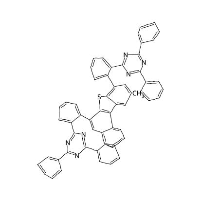 Cc1cc(-c2ccccc2-c2nc(-c3ccccc3)nc(-c3ccccc3)n2)c2sc3c(-c4ccccc4-c4nc(-c5ccccc5)nc(-c5ccccc5)n4)cc4ccccc4c3c2c1